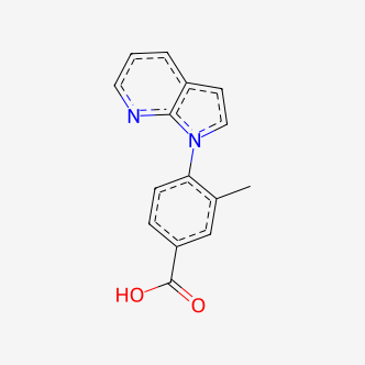 Cc1cc(C(=O)O)ccc1-n1ccc2cccnc21